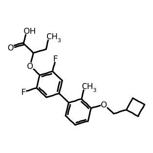 CCC(Oc1c(F)cc(-c2cccc(OCC3CCC3)c2C)cc1F)C(=O)O